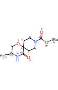 C[C@H]1COC2(CCN(C(=O)OC(C)(C)C)CC2)C(=O)N1